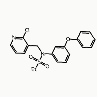 CCS(=O)(=O)N(Cc1cccnc1Cl)c1cccc(Oc2ccccc2)c1